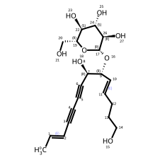 C/C=C/C#CC#C[C@@H](O)[C@@H](/C=C/CCCO)O[C@@H]1O[C@H](CO)[C@@H](O)[C@H](O)[C@H]1O